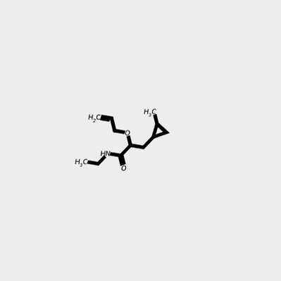 C=CCOC(CC1CC1C)C(=O)NCC